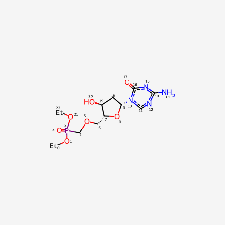 CCOP(=O)(COC[C@H]1O[C@@H](n2cnc(N)nc2=O)C[C@@H]1O)OCC